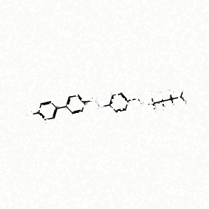 N#Cc1ccc(-c2ccc(/N=N/c3ccc(COC(F)(F)C(F)(F)C(F)(F)C(F)F)cc3)cc2)cc1